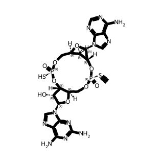 C#S[P@]1(=O)OC[C@H]2O[C@@H](n3cnc4c(N)nc(N)nc43)[C@H](O)[C@@H]2O[P@](=O)(S)OC[C@H]2O[C@@H](n3cnc4c(N)ncnc43)[C@H](O1)[C@@H]2O